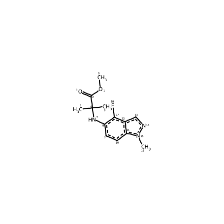 COC(=O)C(C)(C)Nc1ccc2c(cnn2C)c1F